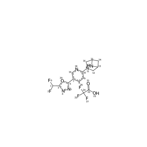 FC(F)c1nnc(-c2ccc(N3CC4CC(C3)N4)nc2)o1.O=C(O)C(F)(F)F